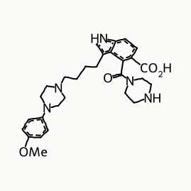 COc1ccc(N2CCN(CCCCc3c[nH]c4ccc(C(=O)O)c(C(=O)N5CCNCC5)c34)CC2)cc1